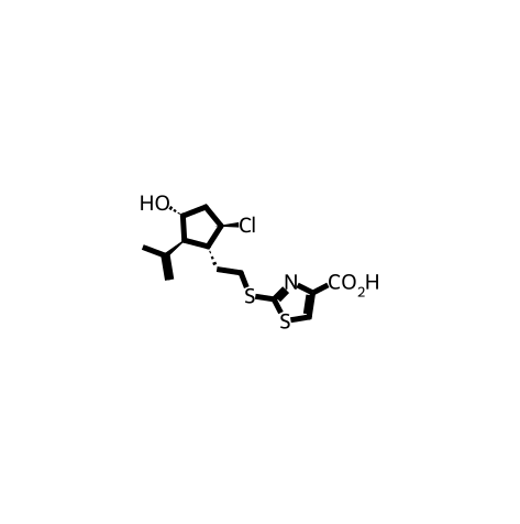 C=C(C)[C@@H]1[C@@H](CCSc2nc(C(=O)O)cs2)[C@H](Cl)C[C@H]1O